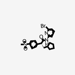 CS(=O)(=O)c1ccc([C@@H](CC2CCCC2)C(=O)Nc2cccc(Br)n2)cc1